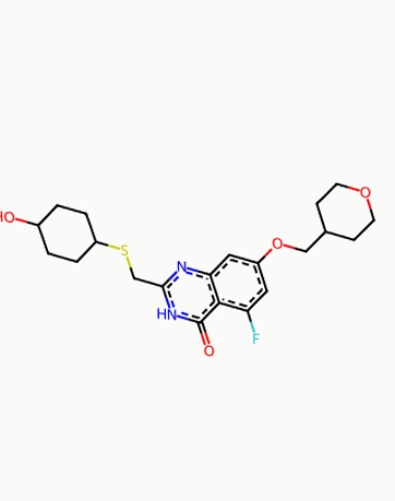 O=c1[nH]c(CSC2CCC(O)CC2)nc2cc(OCC3CCOCC3)cc(F)c12